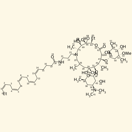 CC/C=C\C/C=C\C/C=C\C/C=C\C/C=C\CCCC(=O)NCCCN1CC(C)C[C@@](C)(O)[C@H](O[C@@H]2O[C@H](C)C[C@H](N(C)C)[C@H]2O)[C@@H](C)[C@H](O[C@H]2C[C@@](C)(OC)[C@@H](O)[C@H](C)O2)[C@@H](C)C(=O)O[C@H](CC)[C@@](C)(O)[C@H](O)[C@H]1C